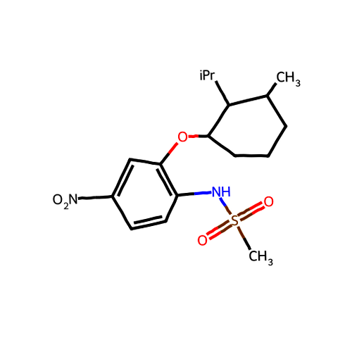 CC(C)C1C(C)CCCC1Oc1cc([N+](=O)[O-])ccc1NS(C)(=O)=O